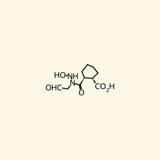 O=CCN(NO)C(=O)[C@H]1CCCC[C@H]1C(=O)O